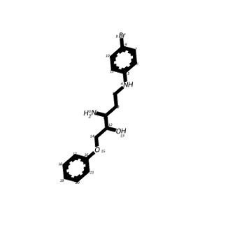 NC(CCNc1ccc(Br)cc1)C(O)COc1ccccc1